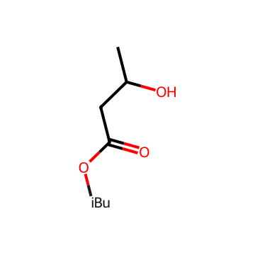 CCC(C)OC(=O)CC(C)O